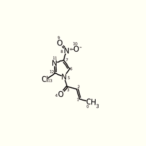 C/C=C/C(=O)n1cc([N+](=O)[O-])nc1Cl